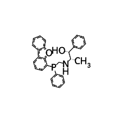 C[C@H](NCP(c1ccccc1)c1cccc2c1oc1ccccc12)[C@H](O)c1ccccc1